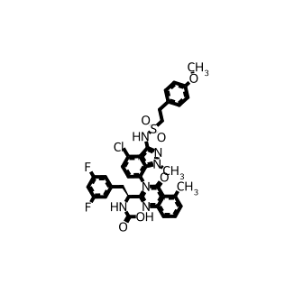 COc1ccc(CCS(=O)(=O)Nc2nn(C)c3c(-n4c([C@H](Cc5cc(F)cc(F)c5)NC(=O)O)nc5cccc(C)c5c4=O)ccc(Cl)c23)cc1